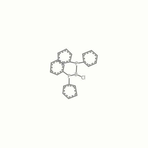 ClB(P(c1ccccc1)c1ccccc1)P(c1ccccc1)c1ccccc1